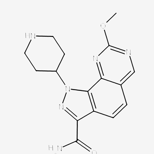 COc1ncc2ccc3c(C(N)=O)nn(C4CCNCC4)c3c2n1